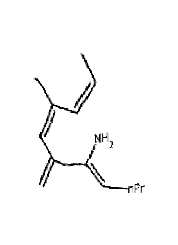 C=C(/C=C(C)\C=C/C)/C(N)=C/CCC